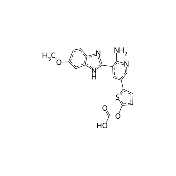 COc1ccc2nc(-c3cc(-c4ccc(OC(=O)O)s4)cnc3N)[nH]c2c1